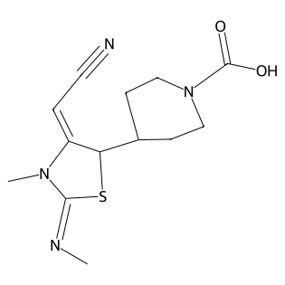 C/N=C1\SC(C2CCN(C(=O)O)CC2)/C(=C\C#N)N1C